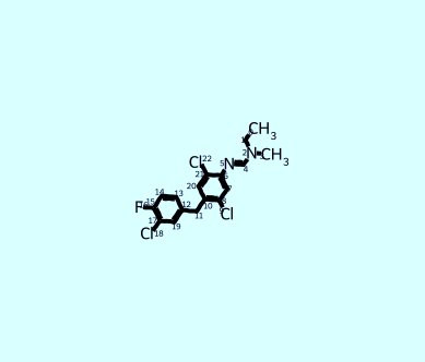 CCN(C)C=Nc1cc(Cl)c(Cc2ccc(F)c(Cl)c2)cc1Cl